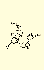 Cl.N#Cc1ccnc(Nc2cc(C3CC3)cc(-c3ccc4ncn(C(CO)CO)c4c3)n2)c1